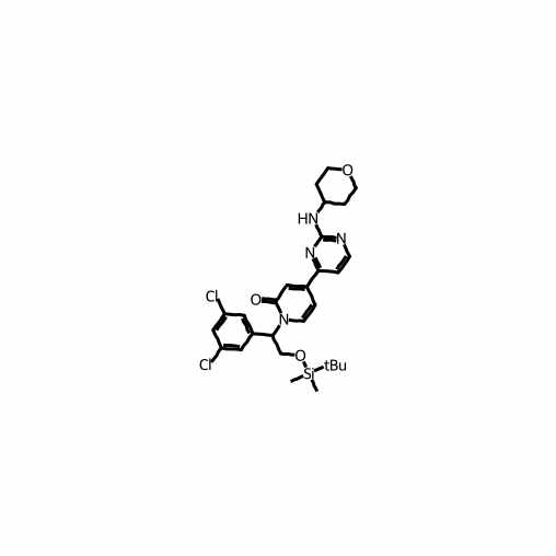 CC(C)(C)[Si](C)(C)OCC(c1cc(Cl)cc(Cl)c1)n1ccc(-c2ccnc(NC3CCOCC3)n2)cc1=O